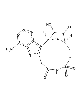 Nc1ccnc2c1nc1n2[C@@H]2O[C@H](COS(=O)(=O)NC(=O)C1)[C@@H](O)[C@H]2O